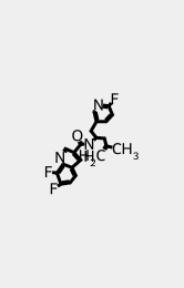 C=C(C)CC(Cc1ccc(F)nc1)NC(=O)c1cnc2c(F)c(F)ccc2c1